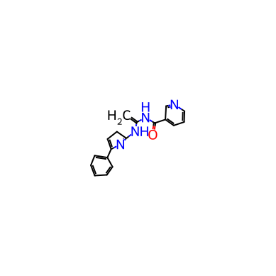 C=C(NC(=O)c1cccnc1)NC1=NC(c2ccccc2)=CC1